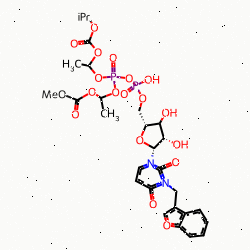 COC(=O)OC(C)OP(=O)(OC(C)OC(=O)OC(C)C)OP(=O)(O)OC[C@H]1O[C@@H](n2ccc(=O)n(Cc3coc4ccccc34)c2=O)[C@@H](O)C1O